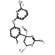 NC1=N[C@](CF)(c2cc(Oc3cccc(C(F)(F)F)n3)ccc2F)C[C@@H](C(F)(F)F)O1